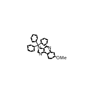 COc1ccc2c(c1)ncc1c2ncn1C(c1ccccc1)(c1ccccc1)c1ccccc1